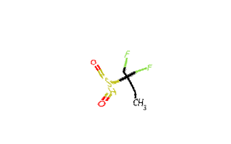 CC(F)(F)[SH](=O)=O